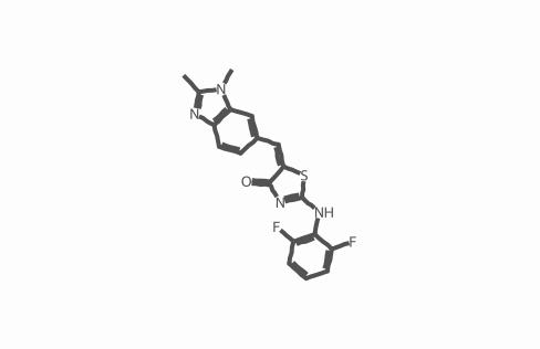 Cc1nc2ccc(C=C3SC(Nc4c(F)cccc4F)=NC3=O)cc2n1C